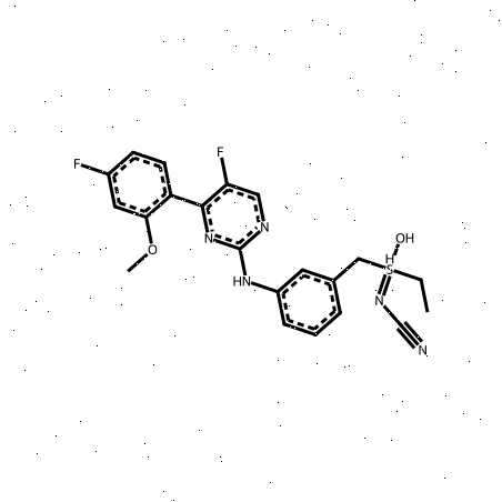 CC[SH](O)(Cc1cccc(Nc2ncc(F)c(-c3ccc(F)cc3OC)n2)c1)=NC#N